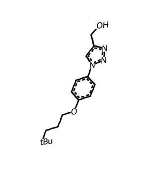 CC(C)(C)CCCOc1ccc(-n2cc(CO)nn2)cc1